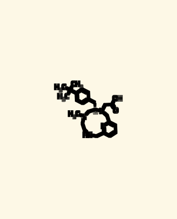 CN1CCNCc2cccc(n2)CN(CC(=O)O)[C@@H](Cc2ccc(C(C)(C)C)cc2)C1